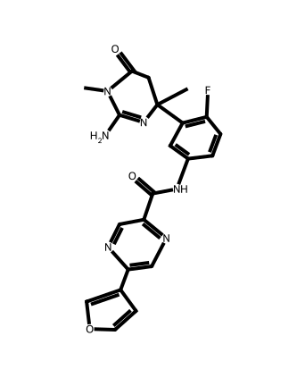 CN1C(=O)CC(C)(c2cc(NC(=O)c3cnc(-c4ccoc4)cn3)ccc2F)N=C1N